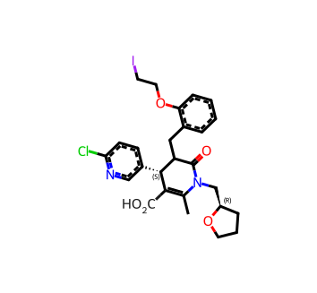 CC1=C(C(=O)O)[C@H](c2ccc(Cl)nc2)C(Cc2ccccc2OCCI)C(=O)N1C[C@H]1CCCO1